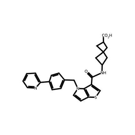 O=C(NC1CC2(C1)CC(C(=O)O)C2)c1csc2ccn(Cc3ccc(-c4ccccn4)cc3)c12